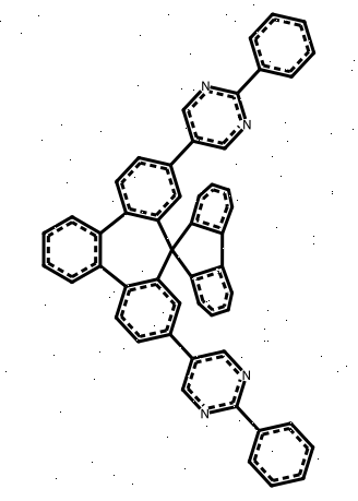 c1ccc(-c2ncc(-c3ccc4c(c3)C3(c5cc(-c6cnc(-c7ccccc7)nc6)ccc5-c5ccccc5-4)c4ccccc4-c4ccccc43)cn2)cc1